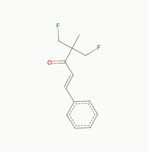 CC(CF)(CF)C(=O)/C=C/c1ccccc1